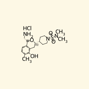 Cc1ccc2c(c1O)C[C@@H](C1CCN(S(=O)(=O)N(C)C)CC1)O[C@H]2CN.Cl